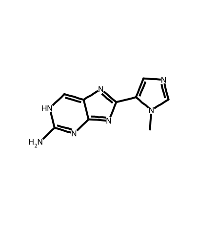 Cn1cncc1-c1nc2c[nH]c(N)nc-2n1